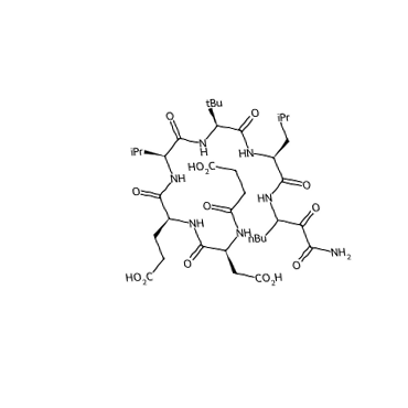 CCCCC(NC(=O)[C@H](CC(C)C)NC(=O)[C@@H](NC(=O)[C@@H](NC(=O)[C@H](CCC(=O)O)NC(=O)[C@H](CC(=O)O)NC(=O)CCC(=O)O)C(C)C)C(C)(C)C)C(=O)C(N)=O